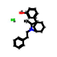 CC1N(CCc2ccccc2)C2CCCC1(c1cccc(O)c1)C2.Cl